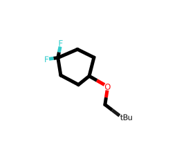 CC(C)(C)COC1CCC(F)(F)CC1